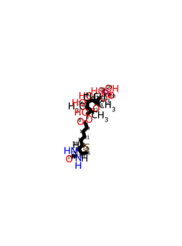 CC1(O)[C@@](C)(COC(=O)CCCCC2SC[C@@H]3NC(=O)N[C@H]23)OC(C)(COP(=O)(O)O)[C@@](C)(O)[C@@]1(C)O